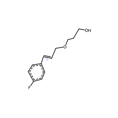 OCCCOC/C=C/c1ccc(F)cc1